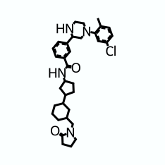 Cc1ccc(Cl)cc1N1CCNC(c2cccc(C(=O)NC3CCC(C4CCCC(CN5CCCC5=O)C4)C3)c2)C1